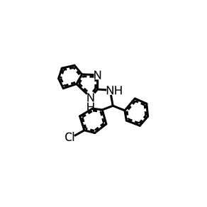 Clc1ccc(C(Nc2nc3ccccc3[nH]2)c2ccccc2)cc1